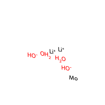 O.O.[Li+].[Li+].[Mo].[OH-].[OH-]